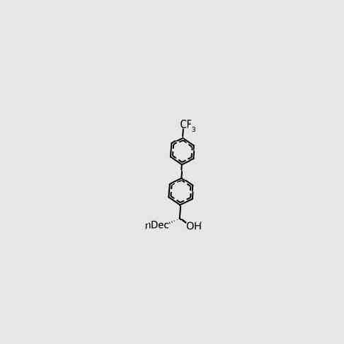 CCCCCCCCCC[C@@H](O)c1ccc(-c2ccc(C(F)(F)F)cc2)cc1